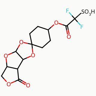 O=C1OCC2OC3OC4(CCC(OC(=O)C(F)(F)S(=O)(=O)O)CC4)OC3C12